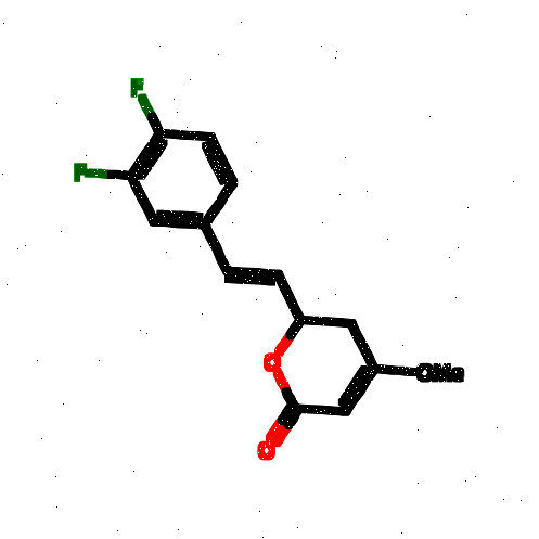 COC1=CC(=O)OC(/C=C/c2ccc(F)c(F)c2)C1